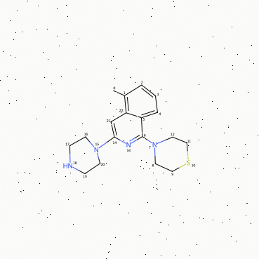 Cc1cccc2c(N3CCSCC3)nc(N3CCNCC3)cc12